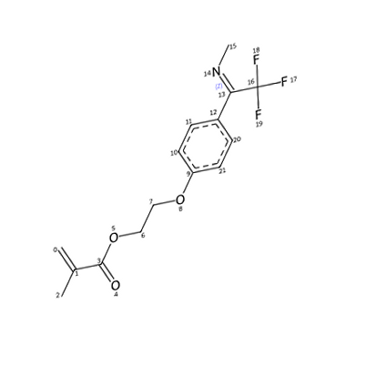 C=C(C)C(=O)OCCOc1ccc(/C(=N/C)C(F)(F)F)cc1